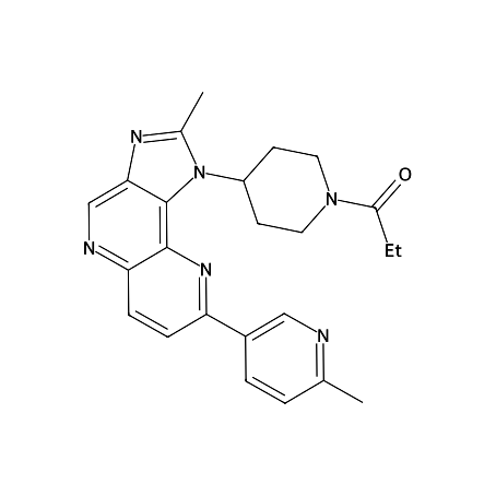 CCC(=O)N1CCC(n2c(C)nc3cnc4ccc(-c5ccc(C)nc5)nc4c32)CC1